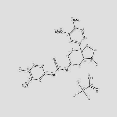 COc1ccc(C23CCC(NC(=O)Nc4ccc(Cl)c([N+](=O)[O-])c4)CC2N(C)CC3)cc1OC.O=C(O)C(F)(F)F